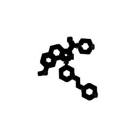 COc1ccc2c(c1)-c1c(c(C(=O)N3CCOCC3)nn1[C@H]1CCCN(CCN3CCOCC3)C1)CC2